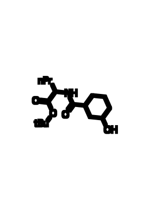 CCCC(NC(=O)C1CCCC(O)C1)C(=O)OC(C)(C)C